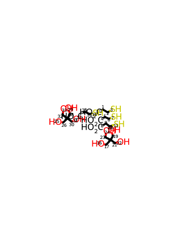 O=C(O)CCS.O=C(O)CCS.O=C(O)CCS.O=C(O)CCS.OCC(CO)(CO)CO.OCC(CO)(CO)CO